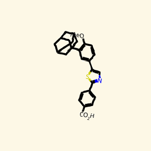 COc1ccc(-c2cnc(-c3ccc(C(=O)O)cc3)s2)cc1C12CC3CC(CC(C3)C1)C2